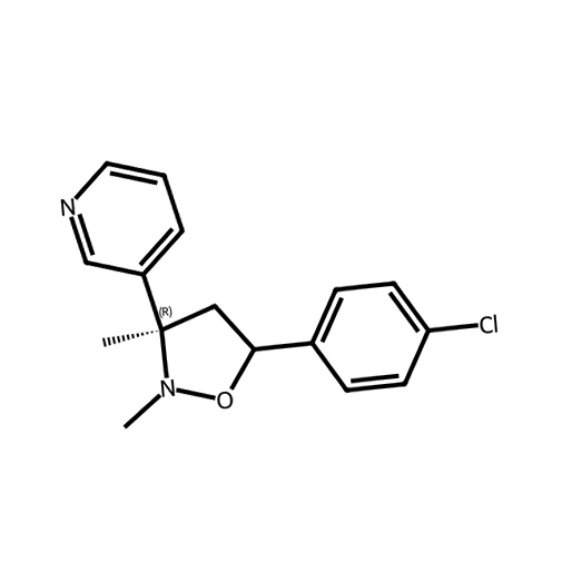 CN1OC(c2ccc(Cl)cc2)C[C@]1(C)c1cccnc1